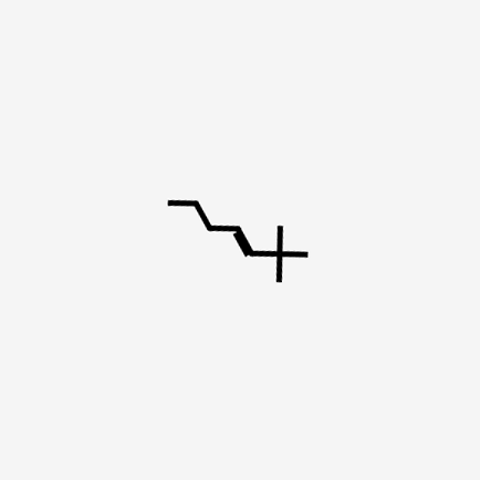 CCC/C=C/C(C)(C)C